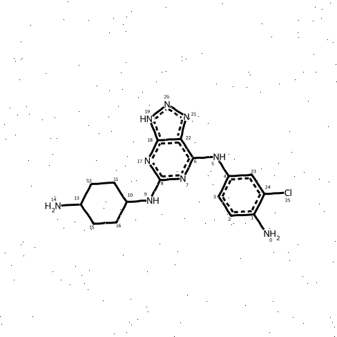 Nc1ccc(Nc2nc(NC3CCC(N)CC3)nc3[nH]nnc23)cc1Cl